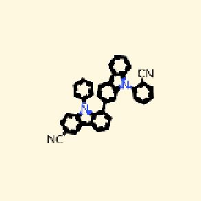 N#Cc1ccc2c(c1)c1cccc(-c3ccc4c5ccccc5n(-c5ccccc5C#N)c4c3)c1n2-c1ccccc1